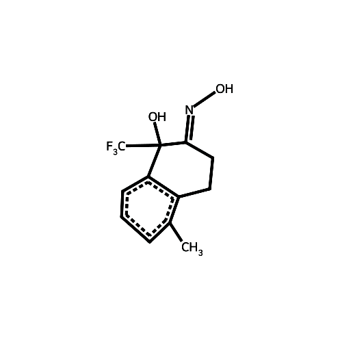 Cc1cccc2c1CCC(=NO)C2(O)C(F)(F)F